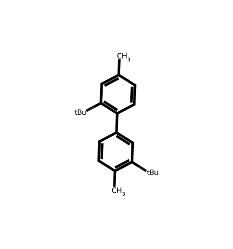 Cc1ccc(-c2ccc(C)c(C(C)(C)C)c2)c(C(C)(C)C)c1